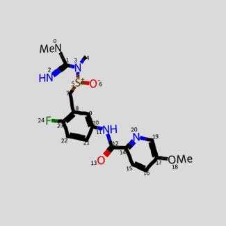 CNC(=N)N(C)[S+]([O-])Cc1cc(NC(=O)c2ccc(OC)cn2)ccc1F